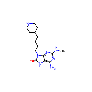 CCCCNc1nc(N)c2[nH]c(=O)n(CCCCC3CCNCC3)c2n1